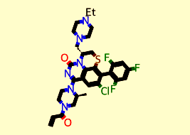 C=CC(=O)N1CCN(c2nc(=O)n3c4c(c(-c5c(F)cc(F)cc5F)c(Cl)cc24)SC[C@H]3CN2CCN(CC)CC2)[C@@H](C)C1